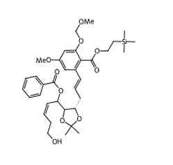 COCOc1cc(OC)cc(/C=C/C[C@@H]2OC(C)(C)OC2C(/C=C\CCO)OC(=O)c2ccccc2)c1C(=O)OCC[Si](C)(C)C